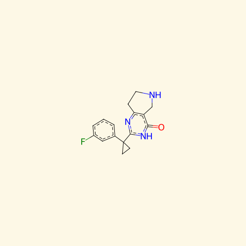 O=c1[nH]c(C2(c3cccc(F)c3)CC2)nc2c1CNCC2